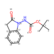 CC(C)(C)OC(=O)NN1C(=O)Cc2ccccc21